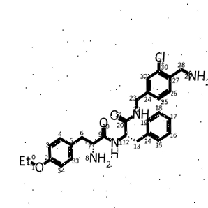 CCOc1ccc(C[C@@H](N)C(=O)N[C@@H](Cc2ccccc2)C(=O)NCc2ccc(CN)c(Cl)c2)cc1